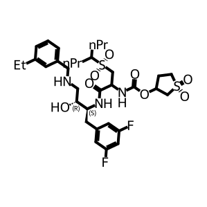 CCCC(CCC)S(=O)(=O)CC(NC(=O)OC1CCS(=O)(=O)C1)C(=O)N[C@@H](Cc1cc(F)cc(F)c1)[C@H](O)CNCc1cccc(CC)c1